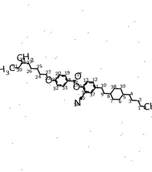 CCCCCC1CCC(CCc2ccc(OC(=O)c3ccc(OCCCCCC(C)CC)cc3)c(C#N)c2)CC1